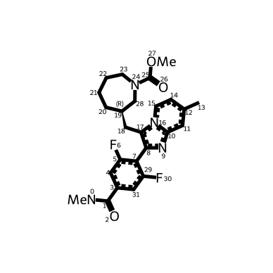 CNC(=O)c1cc(F)c(-c2nc3cc(C)ccn3c2C[C@H]2CCCCN(C(=O)OC)C2)c(F)c1